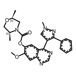 COc1cc2ncnc(-c3cn(C)nc3-c3ccccc3)c2cc1OC(=O)N1C[C@H](C)OC[C@@H]1C